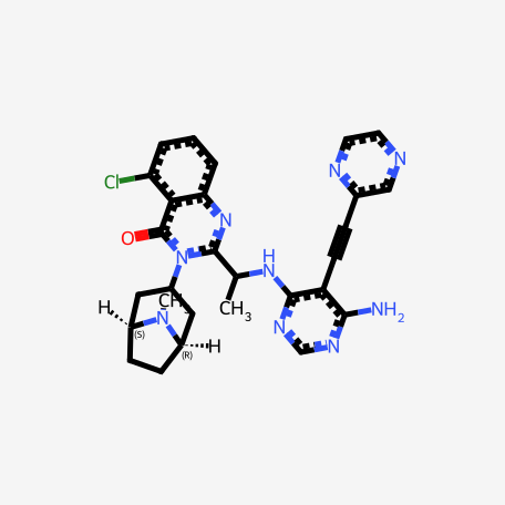 CC(Nc1ncnc(N)c1C#Cc1cnccn1)c1nc2cccc(Cl)c2c(=O)n1C1C[C@H]2CC[C@@H](C1)N2C